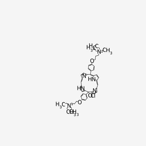 CC[N+](CC)(CC)CCCOc1ccc(C2=c3ccc([nH]3)=CC3=NC(Cl)(C=C3)C(Cl)(c3ccc(OCCC[N+](CC)(CC)CC)cc3)c3ccc([nH]3)C=C3C=CC2=N3)cc1